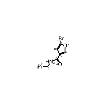 CC(C)CNC(=O)c1coc(Br)c1